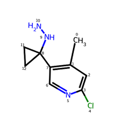 Cc1cc(Cl)ncc1C1(NN)CC1